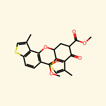 COC(=O)c1ccc2scc(C)c2c1OC1CC(C(=O)OC)C(=O)c2c(C)csc21